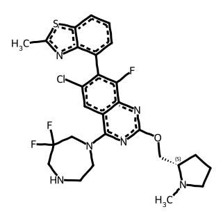 Cc1nc2c(-c3c(Cl)cc4c(N5CCNCC(F)(F)C5)nc(OC[C@@H]5CCCN5C)nc4c3F)cccc2s1